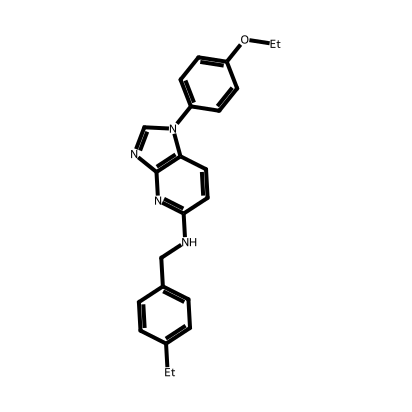 CCOc1ccc(-n2cnc3nc(NCc4ccc(CC)cc4)ccc32)cc1